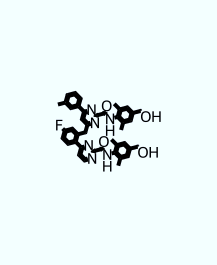 Cc1cccc(-c2cc(Cc3cc(F)ccc3-c3ccnc(C(=O)Nc4c(C)cc(CO)cc4C)n3)nc(C(=O)Nc3c(C)cc(CO)cc3C)n2)c1